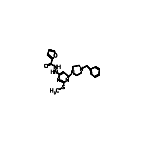 CSc1nc(NNC(=O)c2ccco2)cc(N2CCN(Cc3ccccc3)CC2)n1